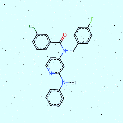 CCN(c1ccccc1)c1cc(N(Cc2ccc(F)cc2)C(=O)c2cccc(Cl)c2)ccn1